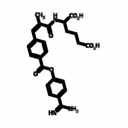 CC(=Cc1ccc(C(=O)Oc2ccc(C(=N)N)cc2)cc1)C(=O)NC(CCCC(=O)O)C(=O)O